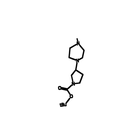 CN1CCN(C2CCN(C(=O)OC(C)(C)C)C2)CC1